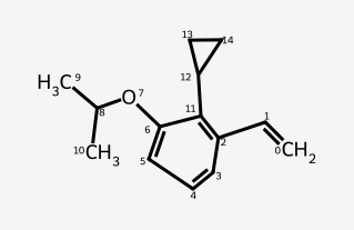 C=Cc1cccc(OC(C)C)c1C1CC1